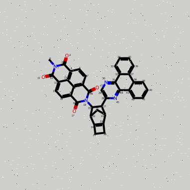 CN1C(=O)c2ccc3c4c(ccc(c24)C1=O)C(=O)N(C1C2CC(C4=C2CC4)C1c1cnc2c4ccccc4c4ccccc4c2n1)C3=O